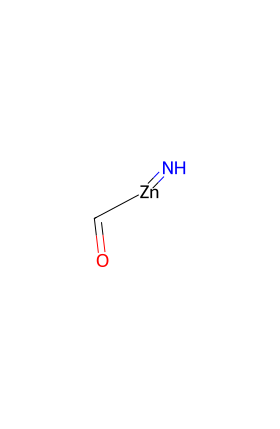 [NH]=[Zn][CH]=O